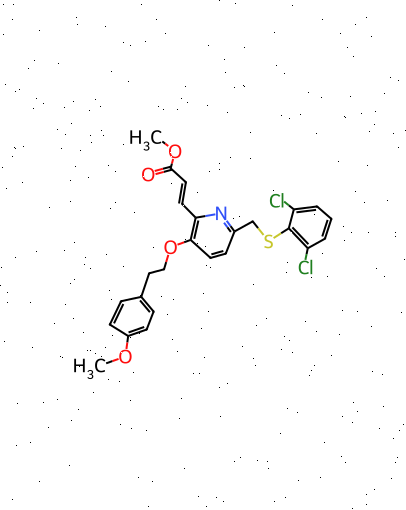 COC(=O)C=Cc1nc(CSc2c(Cl)cccc2Cl)ccc1OCCc1ccc(OC)cc1